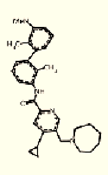 CNc1cccc(-c2cccc(NC(=O)c3cc(C4CC4)c(CN4CCCCCC4)cn3)c2C)c1C